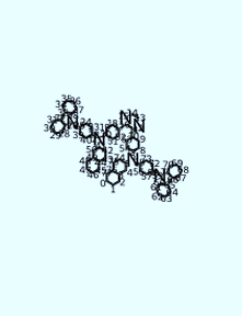 c1ccc2cc(N(c3ccc(-c4nccnc4-c4ccc(N(c5ccc(-n6c7ccccc7c7ccccc76)cc5)c5ccc6ccccc6c5)cc4)cc3)c3ccc(-n4c5ccccc5c5ccccc54)cc3)ccc2c1